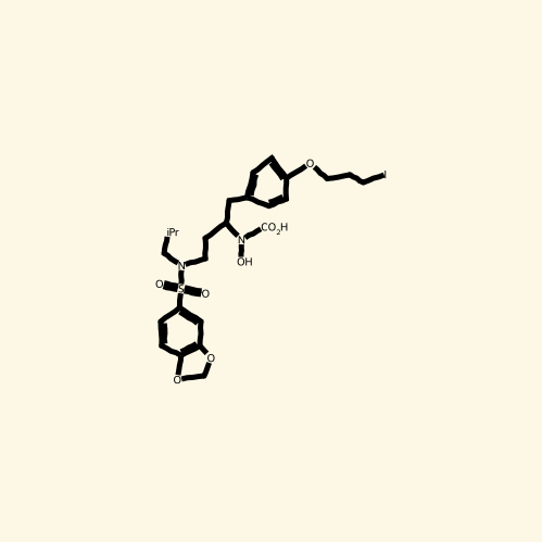 CC(C)CN(CCC(Cc1ccc(OCCCI)cc1)N(O)C(=O)O)S(=O)(=O)c1ccc2c(c1)OCO2